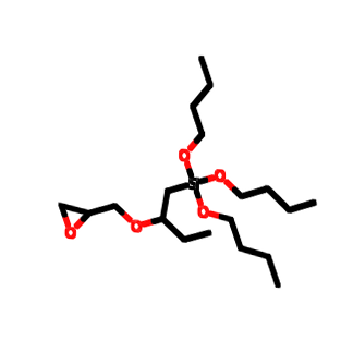 CCCCO[Si](CC(CC)OCC1CO1)(OCCCC)OCCCC